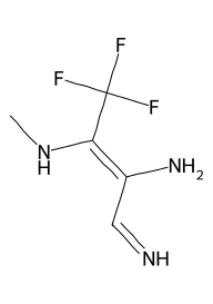 CN/C(=C(/N)C=N)C(F)(F)F